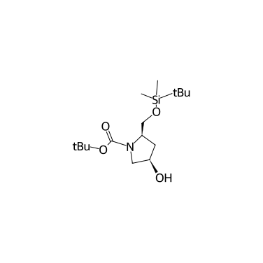 CC(C)(C)OC(=O)N1C[C@H](O)C[C@@H]1CO[Si](C)(C)C(C)(C)C